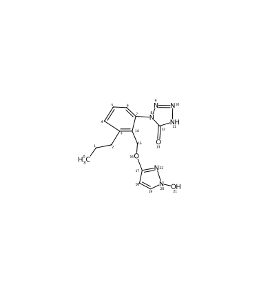 CCCc1cccc(-n2nn[nH]c2=O)c1COc1ccn(O)n1